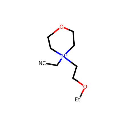 CCOCC[N+]1(CC#N)CCOCC1